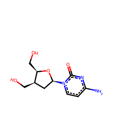 Nc1ccn([C@H]2C[C@@H](CO)[C@@H](CO)O2)c(=O)n1